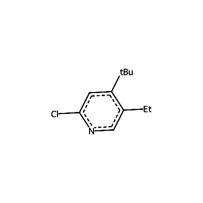 CCc1cnc(Cl)cc1C(C)(C)C